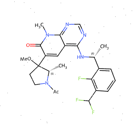 COC1(c2cc3c(N[C@H](C)c4cccc(C(F)F)c4F)ncnc3n(C)c2=O)CCN(C(C)=O)[C@H]1C